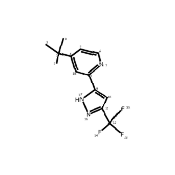 CC(C)(C)c1ccnc(-c2cc(C(F)(F)F)n[nH]2)c1